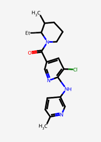 CCC1C(C)CCCN1C(=O)c1cnc(Nc2ccc(C)nc2)c(Cl)c1